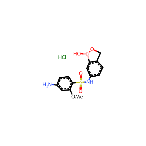 COc1cc(N)ccc1S(=O)(=O)Nc1ccc2c(c1)B(O)OC2.Cl